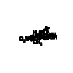 Cc1cc([N+](=O)[O-])ccc1N1CCN(C(=O)C2C(C(=O)NO)CC3(CC3)CN2C)CC1